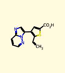 C=Cc1sc(C(=O)O)cc1-c1cnc2cccnn12